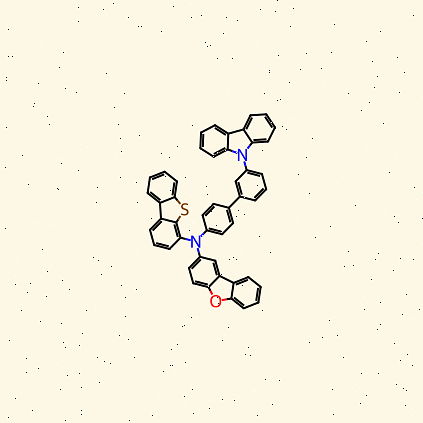 c1cc(-c2ccc(N(c3ccc4oc5ccccc5c4c3)c3cccc4c3sc3ccccc34)cc2)cc(-n2c3ccccc3c3ccccc32)c1